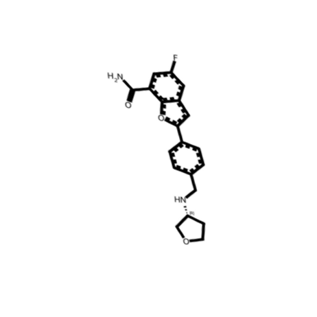 NC(=O)c1cc(F)cc2cc(-c3ccc(CN[C@@H]4CCOC4)cc3)oc12